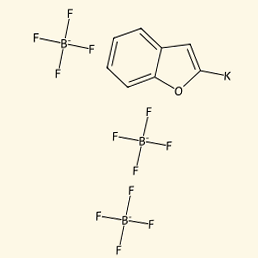 F[B-](F)(F)F.F[B-](F)(F)F.F[B-](F)(F)F.[K][c]1cc2ccccc2o1